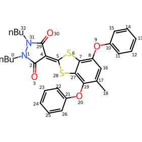 CCCCN1C(=O)C(=C2Sc3c(Oc4ccccc4)cc(C)c(Oc4ccccc4)c3S2)C(=O)N1CCCC